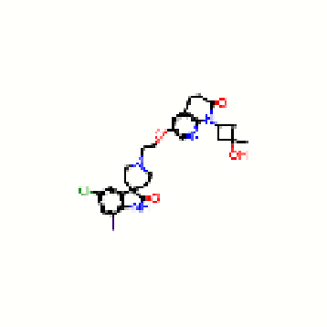 CC1(O)CC(N2C(=O)CCc3cc(OCCN4CCC5(CC4)C(=O)Nc4c(I)cc(Cl)cc45)cnc32)C1